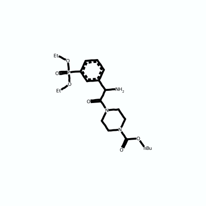 CCCCOC(=O)N1CCN(C(=O)C(N)c2cccc(P(=O)(OCC)OCC)c2)CC1